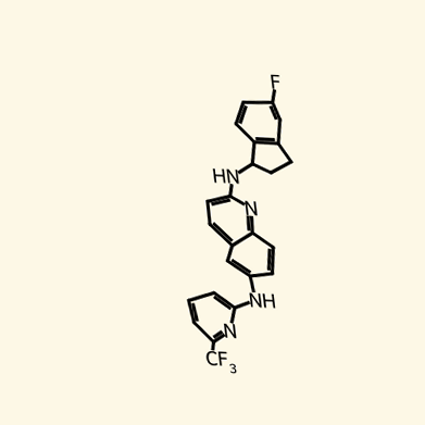 Fc1ccc2c(c1)CCC2Nc1ccc2cc(Nc3cccc(C(F)(F)F)n3)ccc2n1